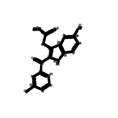 COC(=O)Cc1c(C(=O)c2cc(C)ccn2)[nH]c2ccc(C(C)C)cc12